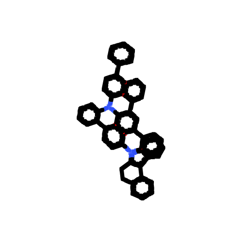 c1ccc(-c2ccc(N(c3ccccc3-c3ccc(-n4c5c(c6ccccc64)-c4ccccc4CC5)cc3)c3ccc(-c4ccccc4)cc3-c3ccccc3)cc2)cc1